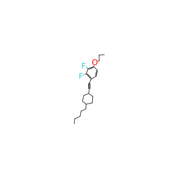 CCCCCC1CCC(C#Cc2ccc(OCCC)c(F)c2F)CC1